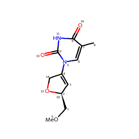 COC[C@@H]1C=C(n2cc(C)c(=O)[nH]c2=O)CO1